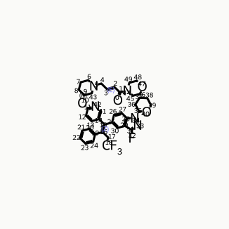 O=C(/C=C/CN1CCC[C@@H](Oc2ccc(/C(=C(/CC(F)(F)F)c3ccccc3)c3ccc4c(c3)c(F)nn4C3CCCCO3)cn2)C1)N1CCOCC1